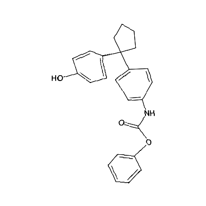 O=C(Nc1ccc(C2(c3ccc(O)cc3)CCCC2)cc1)Oc1ccccc1